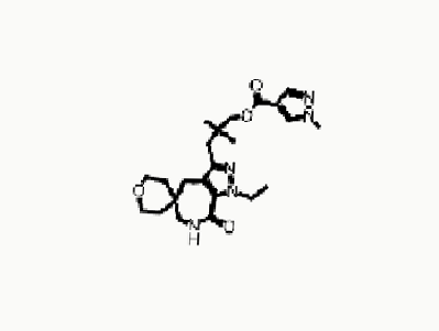 CCn1nc(CC(C)(C)COC(=O)c2cnn(C)c2)c2c1C(=O)NCC1(CCOCC1)C2